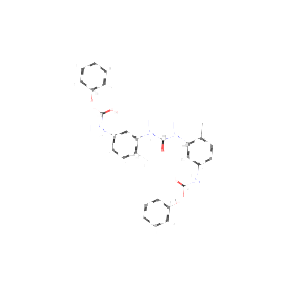 Cc1ccc(NC(=O)Oc2ccccc2)cc1NC(=O)Nc1cc(NC(=O)Oc2ccccc2)ccc1C